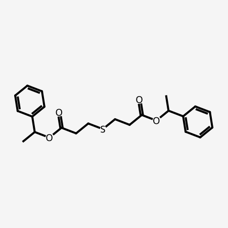 CC(OC(=O)CCSCCC(=O)OC(C)c1ccccc1)c1ccccc1